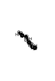 O=C(Nc1nc(-c2ccc3[nH]c(=O)oc3c2)cs1)c1ccc(S(=O)(=O)C2CCc3ccccc3N2)cc1